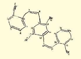 Brc1ccccc1/C=C\c1cc(Br)c(/C=C\c2ccccc2Br)cc1Br